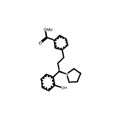 COC(=O)c1cccc(CCC(c2ccccc2O)N2CCCC2)c1